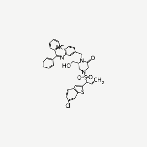 C=CC(c1cc2ccc(Cl)cc2s1)S(=O)(=O)N1CC(=O)N(Cc2ccc(C#N)c(N=C(c3ccccc3)c3ccccc3)c2)C(CO)C1